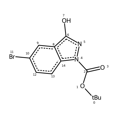 CC(C)(C)OC(=O)n1nc(O)c2cc(Br)ccc21